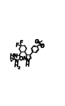 CS(=O)(=O)c1ccc(-c2c[nH]nc2C2CCC(F)(F)CC2C(=O)NC2(N)CC2)cc1